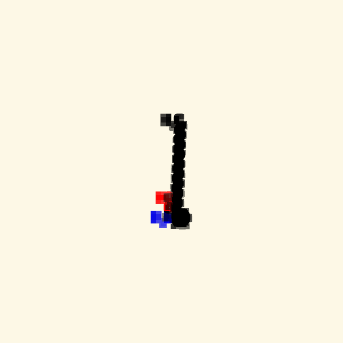 CCCCCCCCCCCCCCCCC(O)CC(=O)c1ccccc1N